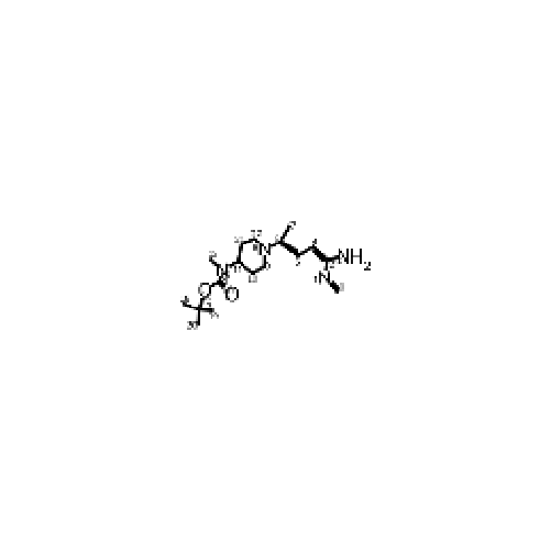 C=N/C(N)=C\C=C(/C)N1CCC(N(C)C(=O)OC(C)(C)C)CC1